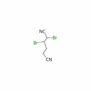 N#CCCC(Br)C(Br)C#N